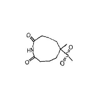 CC1(S(C)(=O)=O)CCCC(=O)NC(=O)CCC1